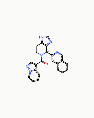 O=C(c1cnn2ccccc12)N1CCc2[nH]cnc2[C@H]1c1cc2ccccc2cn1